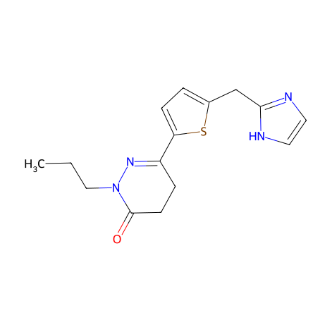 CCCN1N=C(c2ccc(Cc3ncc[nH]3)s2)CCC1=O